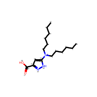 CCCCCCN(CCCCCC)c1cc(C(=O)O)n[nH]1